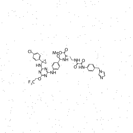 COC(=O)[C@H](CCNC(=O)C(=O)Nc1ccc(Cn2ccnc2)cc1)NC(=O)c1ccc(Nc2nc(NC3(c4ccc(Cl)cc4)CC3)nc(OCC(F)(F)F)n2)cc1